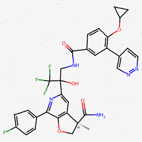 C[C@]1(C(N)=O)COc2c1cc(C(O)(CNC(=O)c1ccc(OC3CC3)c(-c3ccnnc3)c1)C(F)(F)F)nc2-c1ccc(F)cc1